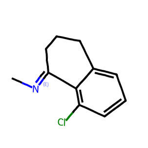 C/N=C1\CCCc2cccc(Cl)c21